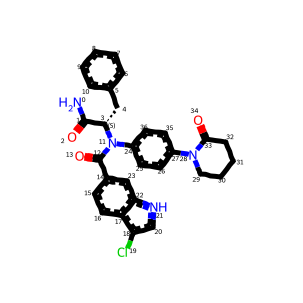 NC(=O)[C@H](Cc1ccccc1)N(C(=O)c1ccc2c(Cl)c[nH]c2c1)c1ccc(N2CCCCC2=O)cc1